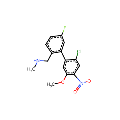 CNCc1ccc(F)cc1-c1cc(OC)c([N+](=O)[O-])cc1Cl